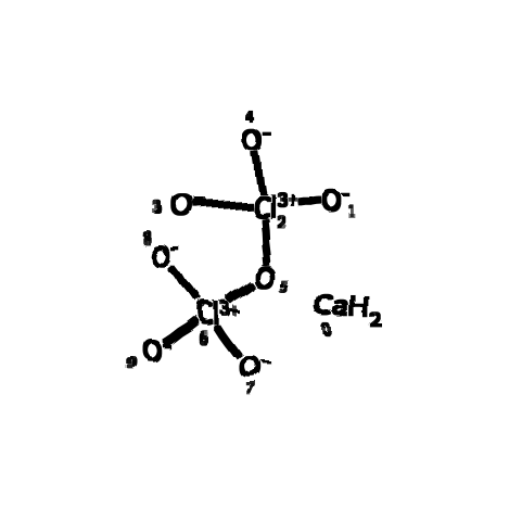 [CaH2].[O-][Cl+3]([O-])([O-])O[Cl+3]([O-])([O-])[O-]